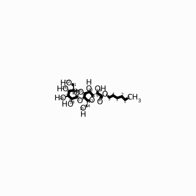 CCCCCCOC(=O)C(O)[C@@H]1O[C@H](CO)[C@@H](OC2O[C@H](CO)[C@H](O)[C@H](O)[C@H]2O)[C@H](O)[C@H]1O